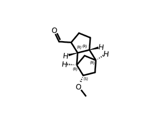 CO[C@H]1C[C@H]2C[C@@H]1[C@@H]1C(C=O)CC[C@H]21